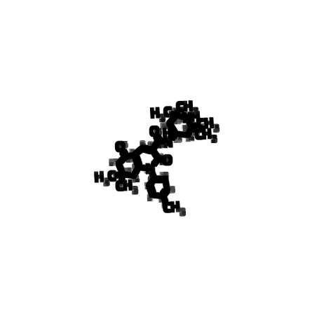 Cc1ccc(-n2c3c(cc(C(=O)NC4CC(C)(C)NC(C)(C)C4)c2=O)C(=O)CC(C)(C)C3)cc1